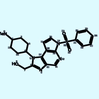 CNC1CCC(n2c(CO)nc3cnc4c(ccn4S(=O)(=O)c4ccccc4)c32)CC1